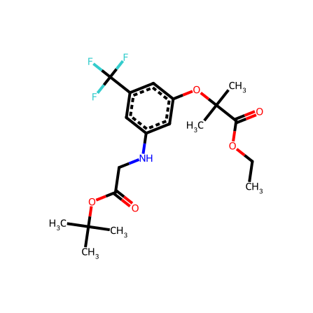 CCOC(=O)C(C)(C)Oc1cc(NCC(=O)OC(C)(C)C)cc(C(F)(F)F)c1